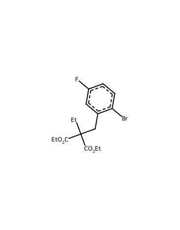 CCOC(=O)C(CC)(Cc1cc(F)ccc1Br)C(=O)OCC